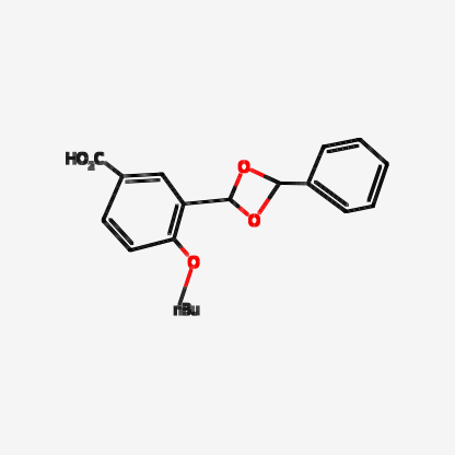 CCCCOc1ccc(C(=O)O)cc1C1OC(c2ccccc2)O1